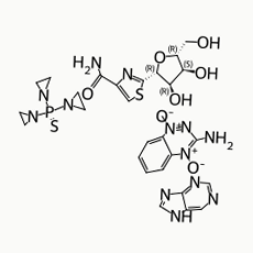 NC(=O)c1csc([C@@H]2O[C@H](CO)[C@@H](O)[C@H]2O)n1.Nc1n[n+]([O-])c2ccccc2[n+]1[O-].S=P(N1CC1)(N1CC1)N1CC1.c1ncc2[nH]cnc2n1